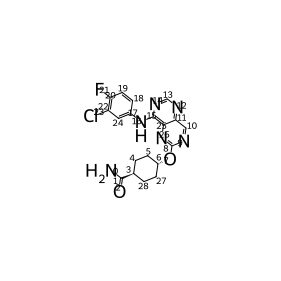 NC(=O)[C@H]1CC[C@H](Oc2ncc3ncnc(Nc4ccc(F)c(Cl)c4)c3n2)CC1